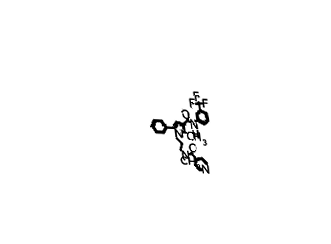 Cc1c(C(=O)Nc2cccc(C(F)(F)F)c2)cc(-c2ccccc2)n1CCCN(C)C(=O)c1ccncc1